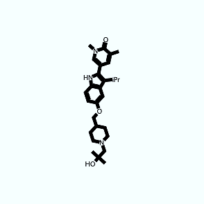 Cc1cc(-c2[nH]c3ccc(OCC4CCN(CC(C)(C)O)CC4)cc3c2C(C)C)cn(C)c1=O